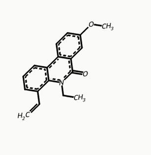 C=Cc1cccc2c3ccc(OC)cc3c(=O)n(CC)c12